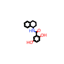 O=C(NC1CCCc2ccccc21)c1cc(O)ccc1O